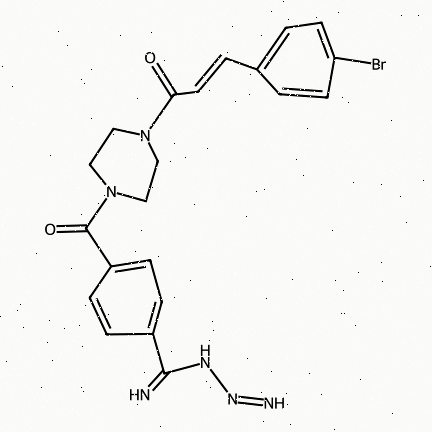 N=NNC(=N)c1ccc(C(=O)N2CCN(C(=O)/C=C/c3ccc(Br)cc3)CC2)cc1